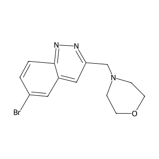 Brc1ccc2nnc(CN3CCOCC3)cc2c1